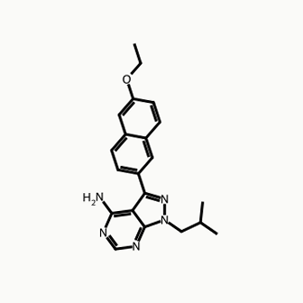 CCOc1ccc2cc(-c3nn(CC(C)C)c4ncnc(N)c34)ccc2c1